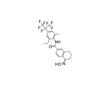 CCc1cc(C(F)(C(F)(F)F)C(F)(F)F)cc(C)c1NC(=O)c1ccc2c(c1)CCC/C2=N/O